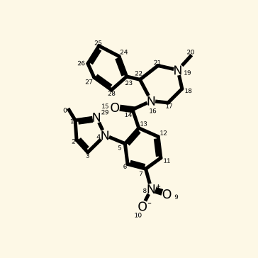 Cc1ccn(-c2cc([N+](=O)[O-])ccc2C(=O)N2CCN(C)CC2c2ccccc2)n1